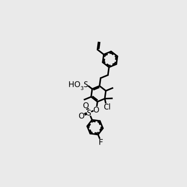 C=Cc1cccc(CCC2=C(S(=O)(=O)O)C(C)=C(OS(=O)(=O)c3ccc(F)cc3)C(C)(Cl)C2C)c1